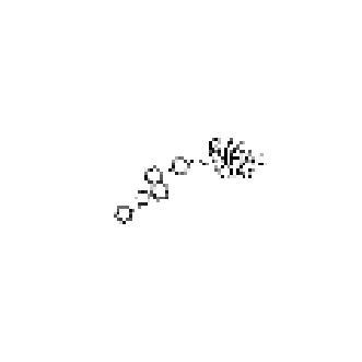 CC(=O)NC(CCc1ccc(-c2cccc3c(OCc4ccccc4)cccc23)cc1)(COC(C)=O)COC(C)=O